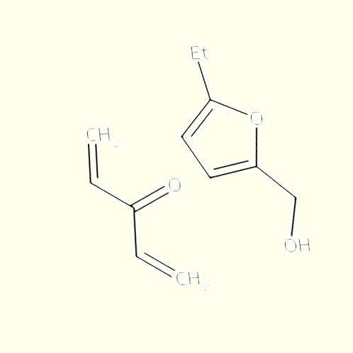 C=CC(=O)C=C.CCc1ccc(CO)o1